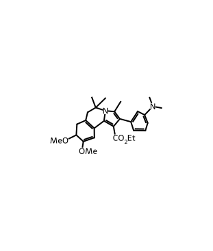 CCOC(=O)c1c(-c2cccc(N(C)C)c2)c(C)n2c1C1=C(CC(OC)C(OC)=C1)CC2(C)C